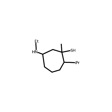 CCNC1CCCC(C(C)C)C(C)(S)C1